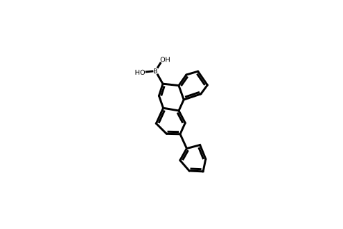 OB(O)c1cc2ccc(-c3ccccc3)cc2c2ccccc12